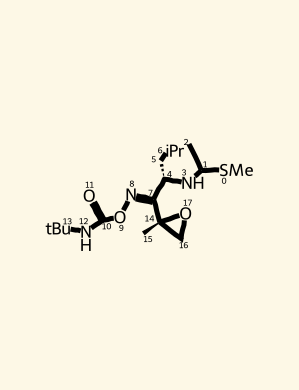 CSC(C)N[C@@H](CC(C)C)/C(=N/OC(=O)NC(C)(C)C)[C@@]1(C)CO1